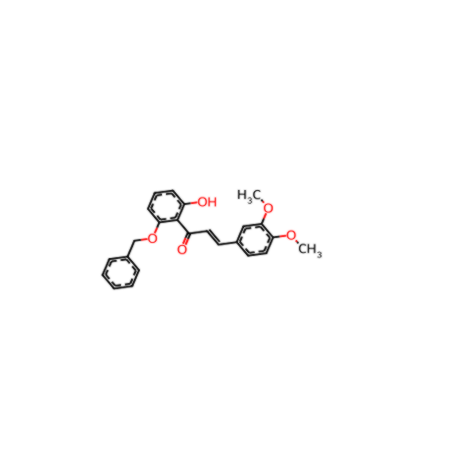 COc1ccc(/C=C/C(=O)c2c(O)cccc2OCc2ccccc2)cc1OC